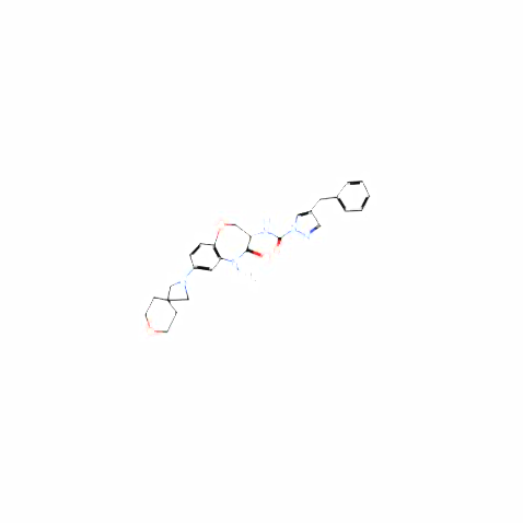 CN1C(=O)[C@H](NC(=O)n2cc(Cc3ccccc3)cn2)COc2ccc(N3CC4(CCOCC4)C3)cc21